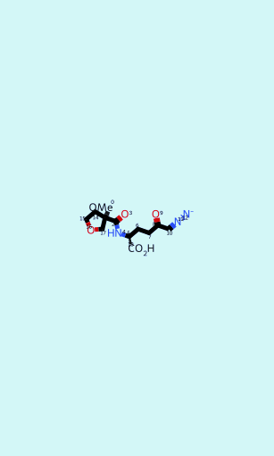 COC1(C(=O)N[C@@H](CCC(=O)C=[N+]=[N-])C(=O)O)CCOC1